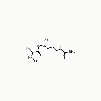 CCNC(C(=O)N[C@@H](CCCNC(N)=O)C(C)=O)C(C)C